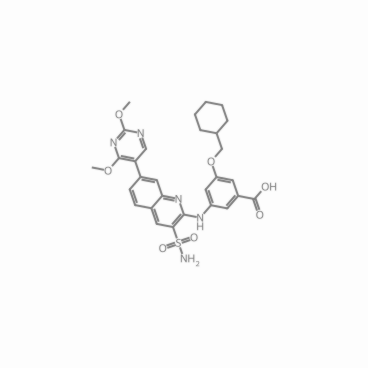 COc1ncc(-c2ccc3cc(S(N)(=O)=O)c(Nc4cc(OCC5CCCCC5)cc(C(=O)O)c4)nc3c2)c(OC)n1